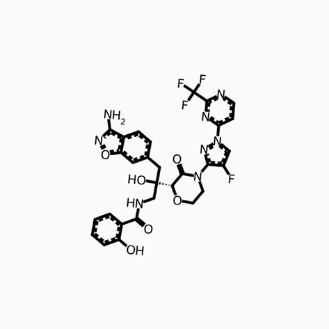 Nc1noc2cc(CC(O)(CNC(=O)c3ccccc3O)[C@H]3OCCN(c4nn(-c5ccnc(C(F)(F)F)n5)cc4F)C3=O)ccc12